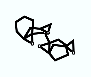 C1CCC2(OC34CCCCC3(CC3CO3)O4)OC2(CC2CO2)C1